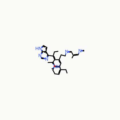 C=N/C=C(C)\C=N/CCC(=C/C1=C(CC)CCC=C1CC)/C(CNC)=C(\CC)c1ncnc2[nH]ccc12